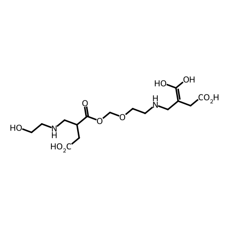 O=C(O)CC(CNCCOCOC(=O)C(CNCCO)CC(=O)O)=C(O)O